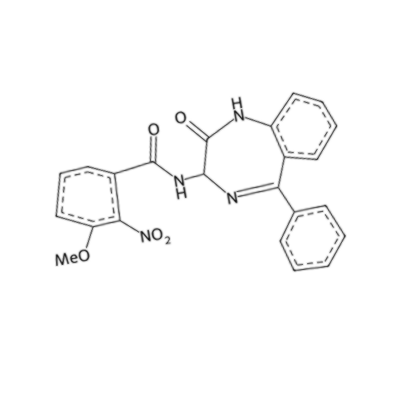 COc1cccc(C(=O)NC2N=C(c3ccccc3)c3ccccc3NC2=O)c1[N+](=O)[O-]